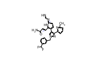 Cc1cccc(-c2nn(Cc3cccc(C(F)F)c3)cc2-c2cc/c(=N/C=N)[nH]c2/C=C/C(N)=O)n1